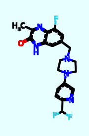 Cc1nc2c(F)cc(CN3CCN(c4ccc(C(F)F)nc4)CC3)cc2[nH]c1=O